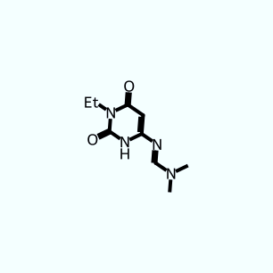 CCn1c(=O)cc(N=CN(C)C)[nH]c1=O